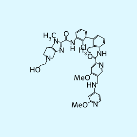 COc1cc(NCc2cnc(C(=O)Nc3cccc(-c4cccc(NC(=O)c5nc6c(n5C)CCN(CCO)C6)c4Cl)c3C)cc2OC)ccn1